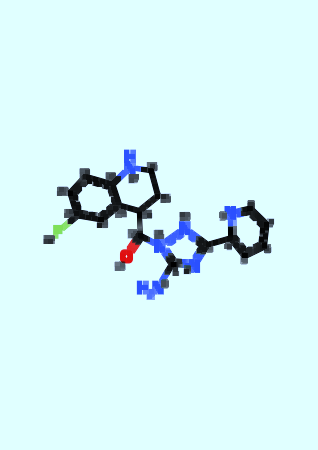 Nc1nc(-c2ccccn2)nn1C(=O)C1CCNc2ccc(F)cc21